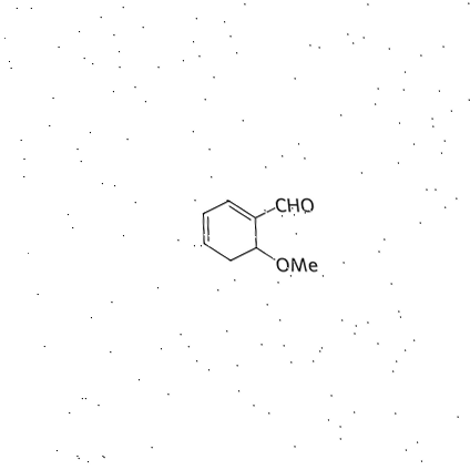 COC1CC=CC=C1C=O